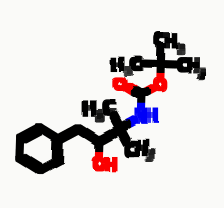 CC(C)(C)OC(=O)NC(C)(C)C(O)Cc1ccccc1